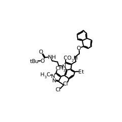 CCc1cc(Cl)c(-c2c(CCl)nn(C)c2C)c2c1c(CCCOc1cccc3ccccc13)c(C(=O)O)n2CCCNC(=O)OC(C)(C)C